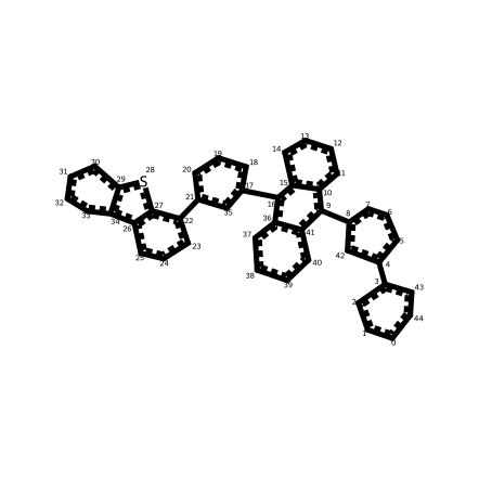 c1ccc(-c2cccc(-c3c4ccccc4c(-c4cccc(-c5cccc6c5sc5ccccc56)c4)c4ccccc34)c2)cc1